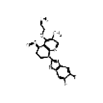 C=CCOc1c(C)cnc2c1C(=S=O)CCC2c1nc2cc(F)c(F)cc2[nH]1